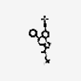 C[Si](C)(C)C#Cc1ccc2c(c1)C(c1ccccc1)=NCc1c(C(=O)OCC(F)(F)F)ncn1-2